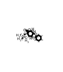 C[Si](C)(C)O[C@@]12C[C@@H](OC1=O)[C@@H]1OC3(CCCCC3)O[C@@H]1C2